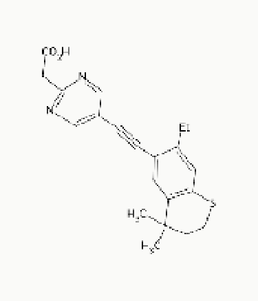 CCc1cc2c(cc1C#Cc1cnc(CC(=O)O)nc1)C(C)(C)CCS2